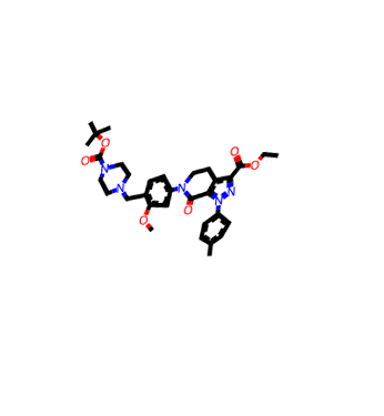 CCOC(=O)c1nn(-c2ccc(C)cc2)c2c1CCN(c1ccc(CN3CCN(C(=O)OC(C)(C)C)CC3)c(OC)c1)C2=O